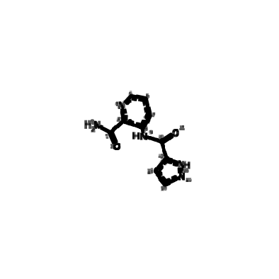 NC(=O)c1ncccc1NC(=O)c1ccn[nH]1